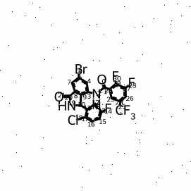 O=C(Nc1cc(Br)cc2c1C(c1cc(F)ccc1Cl)NC2=O)c1cc(C(F)(F)F)cc(F)c1F